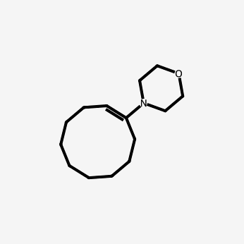 C1=C(N2CCOCC2)CCCCCCCC1